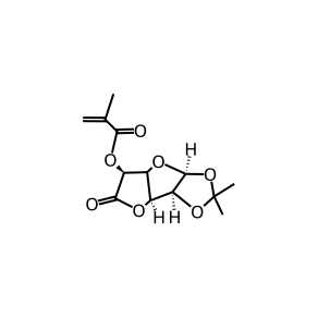 C=C(C)C(=O)O[C@@H]1C(=O)O[C@H]2C1O[C@H]1OC(C)(C)O[C@H]12